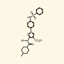 CCOC(=O)c1cn(-c2ccc(NS(=O)(=O)c3ccccc3)cc2)nc1N(C(=O)C1CCC(C)CC1)C(C)C